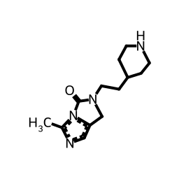 Cc1ncc2n1C(=O)N(CCC1CCNCC1)C2